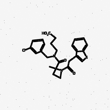 CC1(C(=O)N(CCCC(=O)O)Cc2cccc(Cl)c2)CCN1C(=O)Cc1csc2ccccc12